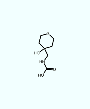 O=C(O)NCC1(O)CCSCC1